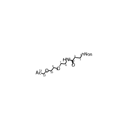 CCCCCCCCCCCC(=O)NCCOCCOCC(C)=O